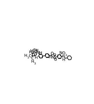 C[C@@H]1[C@@H](Nc2cccc(-c3ccc(C(=O)NS(=O)(=O)c4ccc(NCC5CCCCC5)c([N+](=O)[O-])c4)cc3)c2)C[C@H]2C[C@@H]1C2(C)C